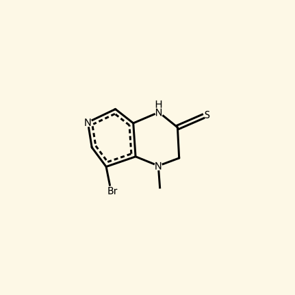 CN1CC(=S)Nc2cncc(Br)c21